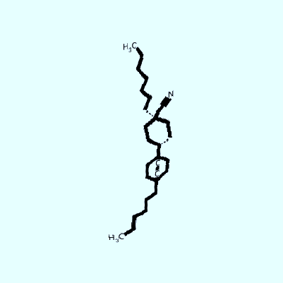 CCCCCCC[C@]1(C#N)CC[C@H](C23CCC(CCCCCC)(CC2)CC3)CC1